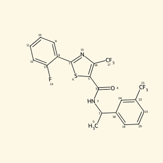 CC(NC(=O)c1sc(-c2ccccc2F)nc1C(F)(F)F)c1cccc(C(F)(F)F)c1